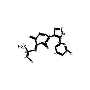 C=C1\C=C/C(c2cn[nH]c2-c2cccc(C)n2)=C/C=C/C1=C/C(=C\C)C(=O)O